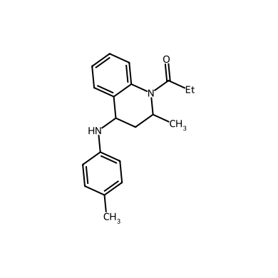 CCC(=O)N1c2ccccc2C(Nc2ccc(C)cc2)CC1C